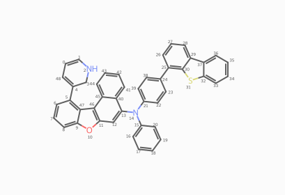 C1=CNCC(c2cccc3oc4cc(N(c5ccccc5)c5ccc(-c6cccc7c6sc6ccccc67)cc5)c5ccccc5c4c23)=C1